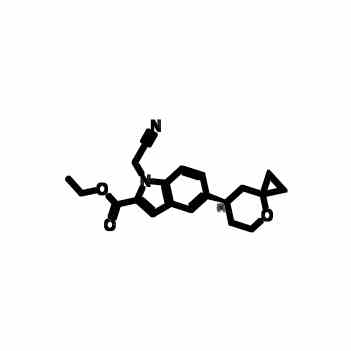 CCOC(=O)c1cc2cc([C@@H]3CCOC4(CC4)C3)ccc2n1CC#N